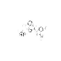 CCNC(=O)c1cc(F)cc(C)c1NC(=O)c1cc(Cn2nnc(C(F)(F)F)n2)nn1-c1ncccc1Cl